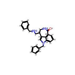 O=C1NCC(CNCc2ccccc2)c2cn(Cc3ccccc3)c3cccc1c23